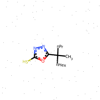 CCCCCCC(C)(CCC)c1nnc(S)o1